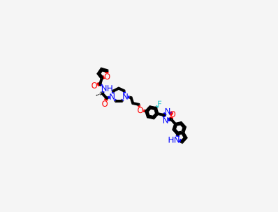 C[C@H](NC(=O)c1ccco1)C(=O)N1CCCN(CCCOc2ccc(-c3noc(-c4ccc5cc[nH]c5c4)n3)c(F)c2)CC1